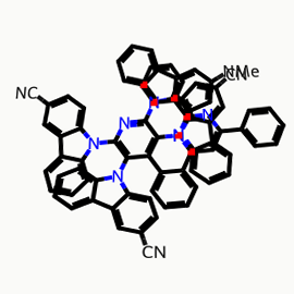 CNc1ccc2c(c1)c1ccccc1n2-c1nc(-n2c3ccccc3c3cc(C#N)ccc32)c(-n2c3ccccc3c3cc(C#N)ccc32)c(-c2ccccc2-c2cc(-c3ccccc3)nc(-c3ccccc3)n2)c1-n1c2ccccc2c2cc(C#N)ccc21